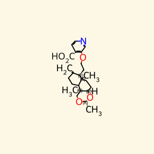 C=C1CCC2[C@]3(C)CO[C@@H](C)O[C@@H]3CC[C@@]2(C)[C@@H]1CCOc1cnccc1C(=O)O